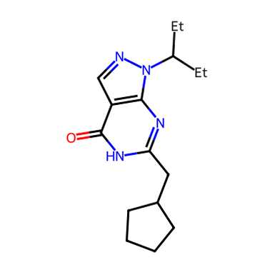 CCC(CC)n1ncc2c(=O)[nH]c(CC3CCCC3)nc21